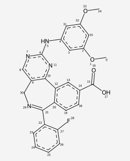 COc1cc(Nc2ncc3c(n2)-c2cc(C(=O)O)ccc2C(c2ccccc2F)=NC3)cc(OC)c1